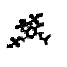 CC(C)CO[C@@H]1O[C@H](COS(=O)(=O)O)[C@H](OS(=O)(=O)O)[C@H](OS(=O)(=O)O)[C@H]1O